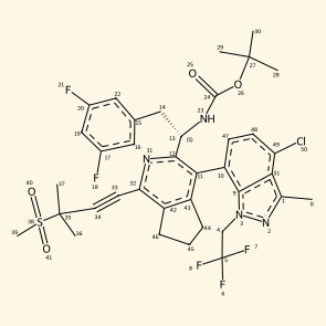 Cc1nn(CC(F)(F)F)c2c(-c3c([C@H](Cc4cc(F)cc(F)c4)NC(=O)OC(C)(C)C)nc(C#CC(C)(C)S(C)(=O)=O)c4c3CCC4)ccc(Cl)c12